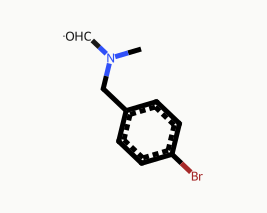 CN([C]=O)Cc1ccc(Br)cc1